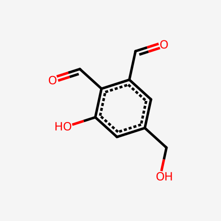 O=Cc1cc(CO)cc(O)c1C=O